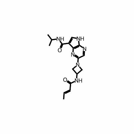 CC=CC(=O)NC1CN(c2cnc3[nH]cc(C(=O)NC(C)C)c3n2)C1